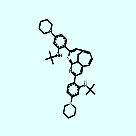 CC(C)(C)Nc1cc(N2CCCCC2)ccc1C1=CC2=CC=CC3=CC(c4ccc(N5CCCCC5)cc4NC(C)(C)C)=NC(=N1)C3C2